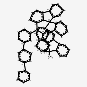 CC1(C)c2ccccc2-c2ccc(N(c3cccc(-c4ccc(-c5ccccc5)cc4)c3)c3cccc4c3C3(c5ccccc5-4)c4ccccc4-c4c3ccc3ccccc43)cc21